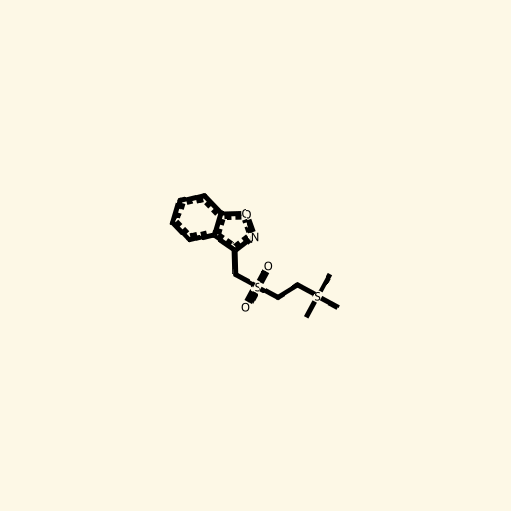 CS(C)(C)CCS(=O)(=O)Cc1noc2ccccc12